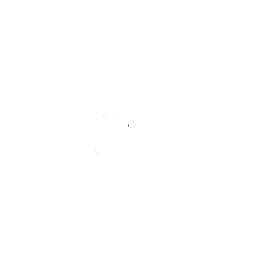 C[C@H]1[C@H](NSc2ccccc2[N+](=O)[O-])C(=O)N1OCc1ccccc1